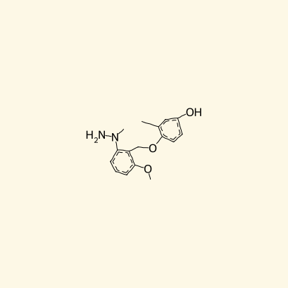 COc1cccc(N(C)N)c1COc1ccc(O)cc1C